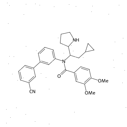 COc1ccc(C(=O)N(c2cccc(-c3cccc(C#N)c3)c2)C(CC2CC2)C2CCCN2)cc1OC